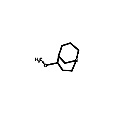 COC1CCN2CCCC1C2